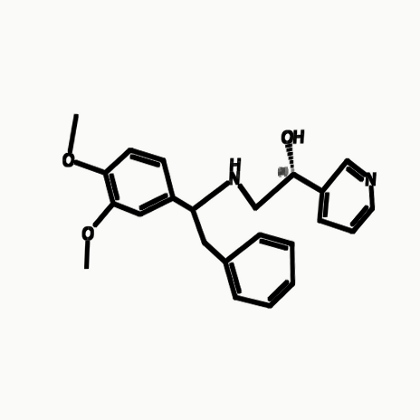 COc1ccc(C(Cc2ccccc2)NC[C@H](O)c2cccnc2)cc1OC